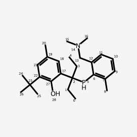 CCC(CC)(Pc1c(C)cccc1CN(C)C)c1cc(C)cc(C(C)(C)C)c1O